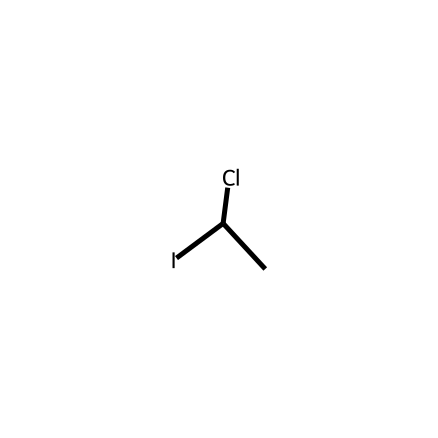 CC(Cl)I